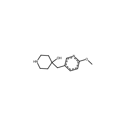 COc1ccc(CC2(O)CCNCC2)cn1